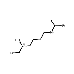 CC(C)C(C)NCCCC[C@H](O)CO